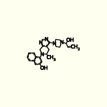 C=CC(O)N1CCN(c2ncnc3c2CC(C)N(c2cc(O)cc4ccccc24)C3)CC1